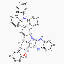 c1ccc(-n2c3ccccc3c3cccc(-c4ccc5c(c4)c4cc6c7ccccc7oc6c6c7nc8ccccc8nc7n5c46)c32)cc1